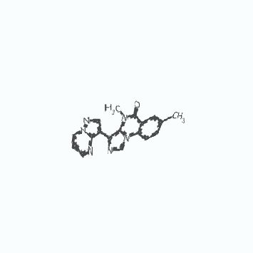 Cc1ccc2c(c1)c(=O)n(C)c1c(-c3cnn4cccnc34)ncn21